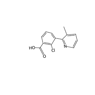 Cc1cccnc1-c1cccc(C(=O)O)c1Cl